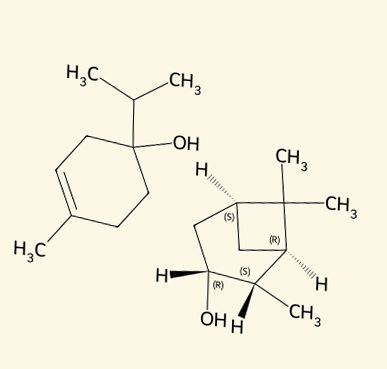 CC1=CCC(O)(C(C)C)CC1.C[C@@H]1[C@H](O)C[C@@H]2C[C@H]1C2(C)C